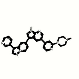 CN1CCN(c2cc(-c3cnc4[nH]cc(-c5ccn6ncc(-c7cccnc7)c6c5)c4c3)ccn2)CC1